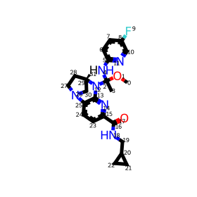 COC(C)(Nc1ccc(F)cn1)N1c2nc(C(=O)NCC3CC3)ccc2N2CC[C@H]1C2